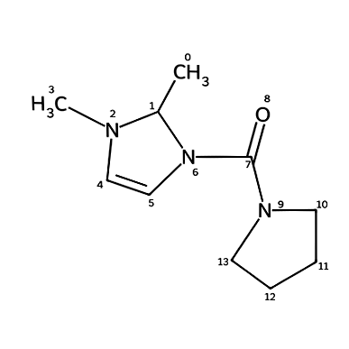 CC1N(C)C=CN1C(=O)N1CCCC1